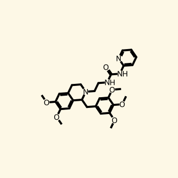 COc1cc2c(cc1OC)C(Cc1cc(OC)c(OC)c(OC)c1)N(CCNC(=O)Nc1ccccn1)CC2